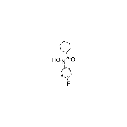 O=C(C1CCCCC1)N(O)c1ccc(F)cc1